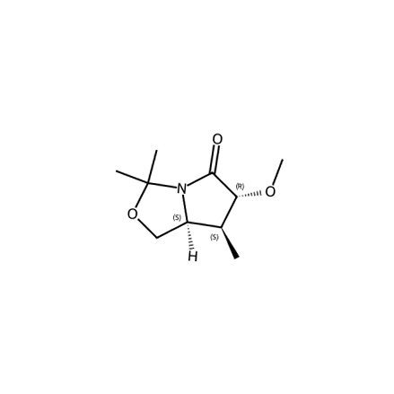 CO[C@H]1C(=O)N2[C@H](COC2(C)C)[C@@H]1C